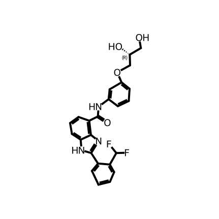 O=C(Nc1cccc(OC[C@H](O)CO)c1)c1cccc2[nH]c(-c3ccccc3C(F)F)nc12